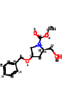 CC(C)(C)OC(=O)N1CC(OCc2ccccc2)C[C@@H]1CO